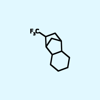 FC(F)(F)C1CC2CC1C1CCCCC21